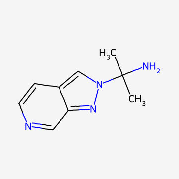 CC(C)(N)n1cc2ccncc2n1